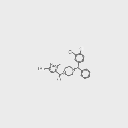 Cn1nc(C(C)(C)C)cc1C(=O)N1CCN(C(c2ccccc2)c2ccc(Cl)c(Cl)c2)CC1